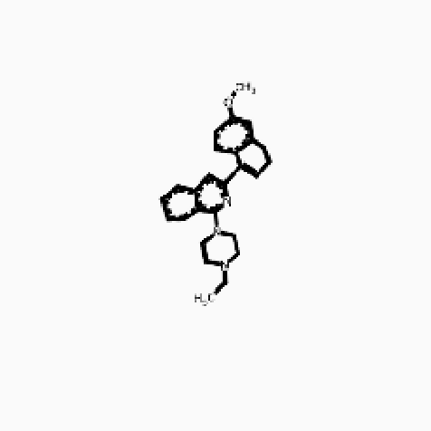 CCN1CCN(c2nc(C3=CCCc4cc(OC)ccc43)cc3ccccc23)CC1